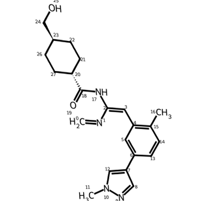 C=N/C(=C\c1cc(-c2cnn(C)c2)ccc1C)NC(=O)[C@H]1CC[C@H](CO)CC1